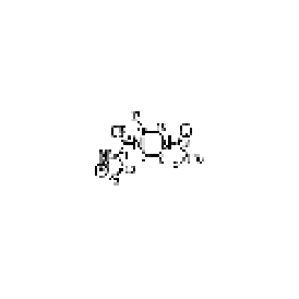 CC(C)C(=O)N1CCN(C(=O)c2ccon2)C(C)C1